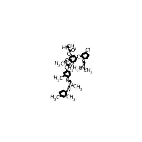 CNC(=O)Oc1cccc(/N=C\N(C)C)c1.Cc1cc(Cl)ccc1N=CN(C)C.Cc1ccc(/N=C/N(C)/C=N/c2ccc(C)cc2C)c(C)c1